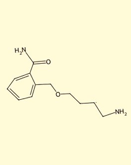 NC[CH]CCOCc1ccccc1C(N)=O